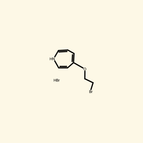 Br.BrCCOC1=CC=CNC=C1